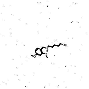 COc1ccc(CNCCCCCO)c(OC)c1